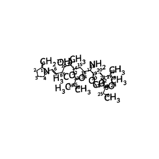 C=C1CCCN1/C=C/[C@@H](C)[C@@H](O)[C@@H](C)[C@@H](CC[C@H](N)[C@H](C[C@H](OC(=O)CC)C(C)C)OC)OC(=O)C(C)C